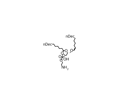 CCCCCCCCCCCCCC/C=C\OC[C@H](COP(=O)(O)OCCN)OC(=O)CCCCCCCCCCCCCCC